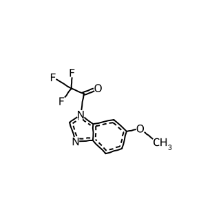 COc1ccc2ncn(C(=O)C(F)(F)F)c2c1